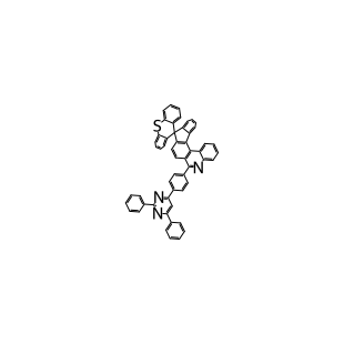 c1ccc(-c2cc(-c3ccc(-c4nc5ccccc5c5c6c(ccc45)C4(c5ccccc5Sc5ccccc54)c4ccccc4-6)cc3)nc(-c3ccccc3)n2)cc1